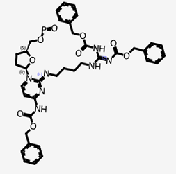 O=POC[C@@H]1CC[C@H](n2ccc(NC(=O)OCc3ccccc3)n/c2=N\CCCCN/C(=N/C(=O)OCc2ccccc2)NC(=O)OCc2ccccc2)O1